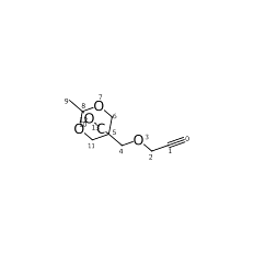 C#CCOCC12COC(C)(OC1)OC2